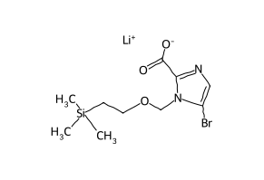 C[Si](C)(C)CCOCn1c(Br)cnc1C(=O)[O-].[Li+]